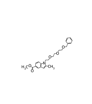 COC(=O)c1ccc2c(c1)cc(C)n2CCOCCOCCOCc1ccccc1